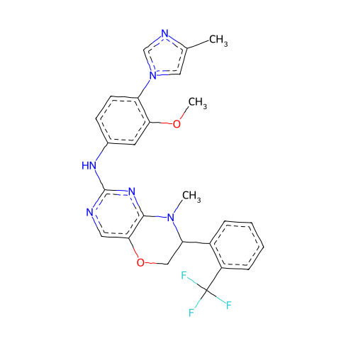 COc1cc(Nc2ncc3c(n2)N(C)C(c2ccccc2C(F)(F)F)CO3)ccc1-n1cnc(C)c1